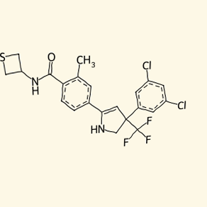 Cc1cc(C2=CC(c3cc(Cl)cc(Cl)c3)(C(F)(F)F)CN2)ccc1C(=O)NC1CSC1